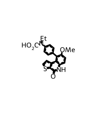 CCN(C(=O)O)c1ccc(-c2c(OC)ccc3[nH]c(=O)c4sccc4c23)cc1